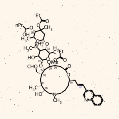 CCCC(O)O[C@H]1C(C)O[C@@H](O[C@@H]2C(C)O[C@@H](O[C@H]3[C@@H](CC=O)C[C@@H](C)[C@@H](O)CN(C)CCC[C@H](C/C=C/c4cnc5ccccc5c4)OC(=O)C[C@@H](OC(=O)CC)[C@@H]3OC)C(O)C2N(C)C)CC1(C)OC(=O)CC